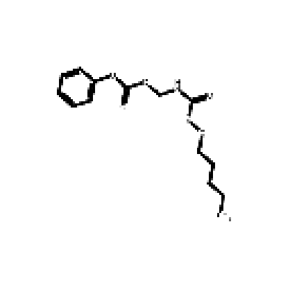 CCCCCOSC(=O)NCOC(=O)Oc1ccccc1